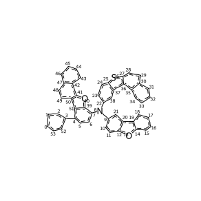 c1ccc(-c2ccc(N(c3ccc4oc5ccccc5c4c3)c3ccc4sc5ccc6ccccc6c5c4c3)c3oc4c5ccccc5ccc4c23)cc1